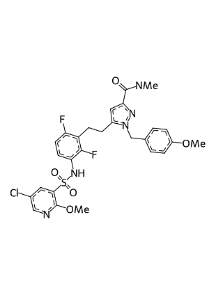 CNC(=O)c1cc(CCc2c(F)ccc(NS(=O)(=O)c3cc(Cl)cnc3OC)c2F)n(Cc2ccc(OC)cc2)n1